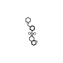 O=S(=O)(c1cccc(CN2CCCCC2)c1)N1CCc2cccnc2C1